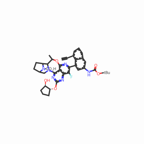 C#Cc1cccc2cc(NC(=O)OC(C)(C)C)cc(-c3nc4c5c(nc(O[C@@H]6CCC[C@H]6O)nc5c3F)N3CC5CCC(C3C(C)O4)N5C(=O)O)c12